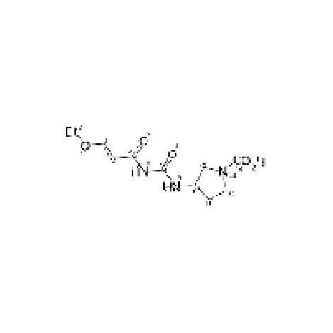 CCOC=CC(=O)NC(=O)NC1CCN(C(=O)O)C1